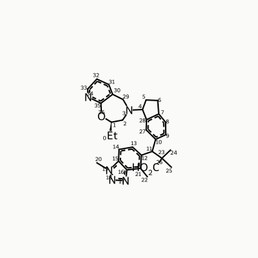 CC[C@@H]1CN(C2CCc3ccc(C(c4ccc5c(nnn5C)c4C)C(C)(C)C(=O)O)cc32)Cc2cccnc2O1